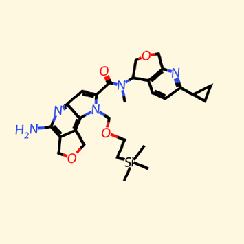 CN(C(=O)c1cc2nc(N)c3c(c2n1COCC[Si](C)(C)C)COC3)C1COCc2nc(C3CC3)ccc21